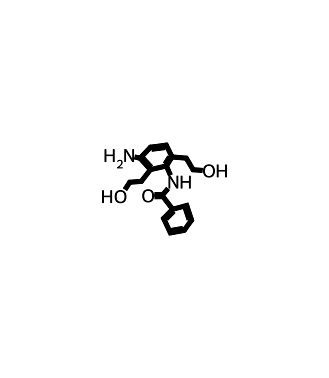 Nc1ccc(CCO)c(NC(=O)c2ccccc2)c1CCO